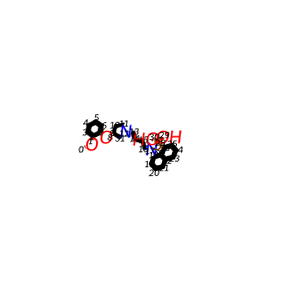 COc1ccccc1OC1CCN(CCCCN2c3cccc4cccc(c34)S2(O)O)C1